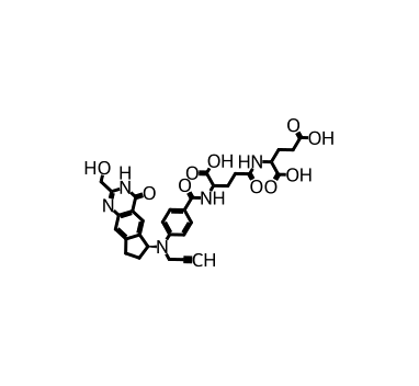 C#CCN(c1ccc(C(=O)NC(CCC(=O)NC(CCC(=O)O)C(=O)O)C(=O)O)cc1)[C@H]1CCc2cc3nc(CO)[nH]c(=O)c3cc21